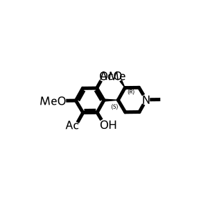 COc1cc(OC)c([C@@H]2CCN(C)C[C@@H]2OC(C)=O)c(O)c1C(C)=O